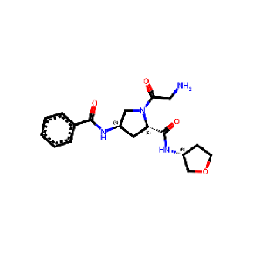 NCC(=O)N1C[C@H](NC(=O)c2ccccc2)C[C@H]1C(=O)N[C@@H]1CCOC1